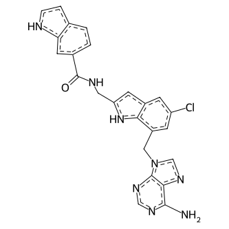 Nc1ncnc2c1ncn2Cc1cc(Cl)cc2cc(CNC(=O)c3ccc4cc[nH]c4c3)[nH]c12